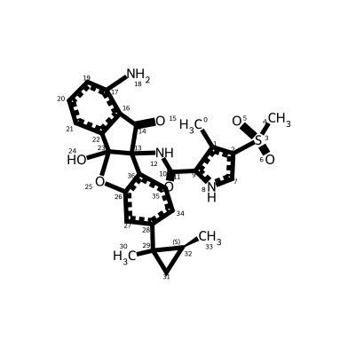 Cc1c(S(C)(=O)=O)c[nH]c1C(=O)NC12C(=O)c3c(N)cccc3C1(O)Oc1cc(C3(C)C[C@@H]3C)ccc12